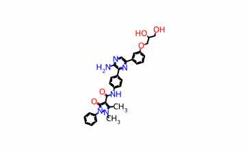 Cc1c(C(=O)Nc2ccc(-c3nc(-c4cccc(OCC(O)CO)c4)cnc3N)cc2)c(=O)n(-c2ccccc2)n1C